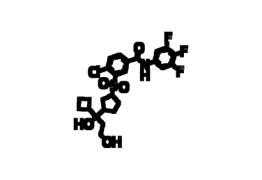 O=C(Nc1cc(F)c(F)c(F)c1)c1ccc(Cl)c(S(=O)(=O)C2CCC(C(O)(CCO)C3CCC3)C2)c1